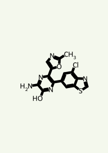 Cc1ncc(-c2nc(N)c(O)nc2-c2cc(Cl)c3ncsc3c2)o1